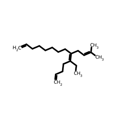 C=CCCCCCCC(CC=C(C)C)=C(CC)CCC=C